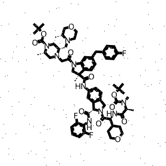 C[C@@H]1COCCN1C[C@H]1CN(C(=O)OC(C)(C)C)[C@@H](C)CN1CC(=O)N1C[C@](C)(C(=O)Nc2ccc3c(c2)[C@@H](C(=O)Nc2c(F)cccc2F)N(C(=O)[C@@H](NC(=O)[C@H](C)N(C)C(=O)OC(C)(C)C)C2CCOCC2)C3)c2ccc(Cc3ccc(F)cc3)cc21